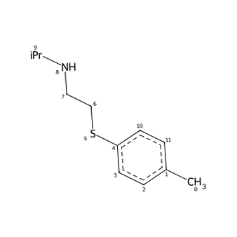 Cc1ccc(SCCNC(C)C)cc1